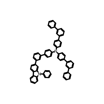 c1ccc(-c2cccc(-c3ccc(N(c4ccc(-c5cccc(-c6ccccc6)c5)cc4)c4ccc(-c5cccc(-c6ccc7c8ccccc8n(-c8ccccc8)c7c6)c5)cc4)cc3)c2)cc1